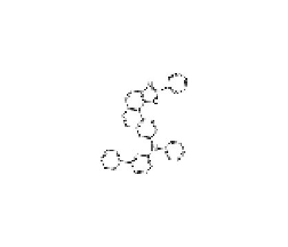 c1ccc(-c2cccc(N(c3ccccc3)c3ccc4c(ccc5ccc6nc(-c7ccccc7)oc6c54)c3)c2)cc1